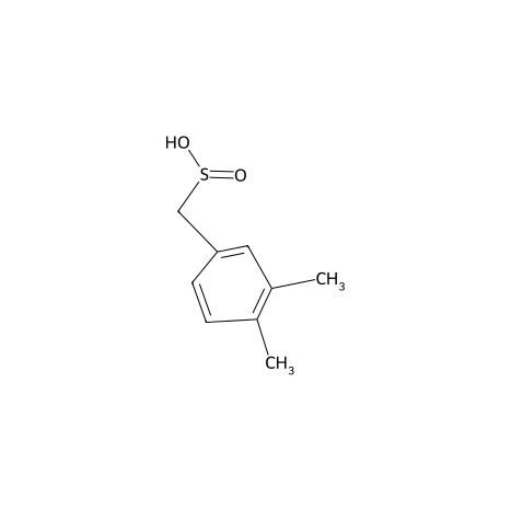 Cc1ccc(CS(=O)O)cc1C